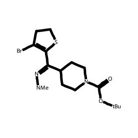 CN/N=C(/C1=C(Br)CCS1)C1CCN(C(=O)OC(C)(C)C)CC1